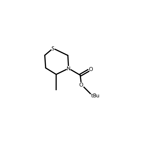 CC1CCSCN1C(=O)OC(C)(C)C